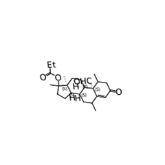 CCC(=O)OC1(C)CC[C@H]2[C@@H]3CC(C)C4=CC(=O)CC(C)[C@]4(C=O)[C@@H]3CC[C@@]21C